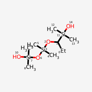 CCC(O[Si](C)(C)O[Si](C)(C)O)[Si](C)(C)O